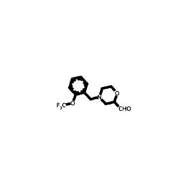 O=CC1CN(Cc2ccccc2OC(F)(F)F)CCO1